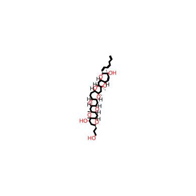 C=CC/C=C\C=C/[C@H]1O[C@H]2C[C@H]3O[C@H]4CC[C@H]5O[C@H]6C[C@@]7(C)O[C@@]8(C)[C@@H](O)C[C@H](CCCO)O[C@@H]8C[C@@H]7O[C@@H]6C[C@@H]5O[C@]4(C)C[C@]3(C)O[C@@H]2C=C[C@]1(C)O